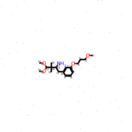 COCCCOc1cccc(CC(N)C(C)(C)C(OC)OC)c1